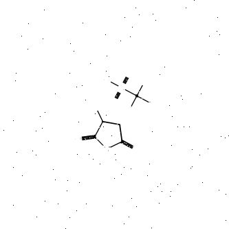 O=C1CC(O)C(=O)N1.O=S(=O)(O)C(F)(F)F